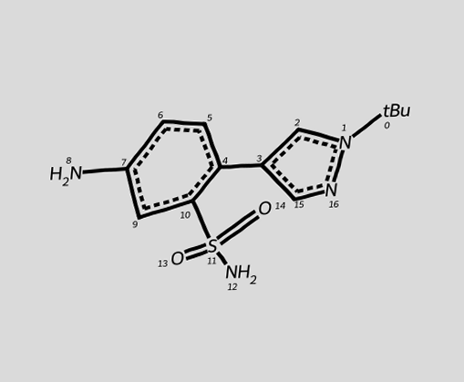 CC(C)(C)n1cc(-c2ccc(N)cc2S(N)(=O)=O)cn1